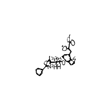 [2H]C([2H])(Oc1ccc(CC(OC)C(=O)OC)c2sccc12)C([2H])([2H])c1nc(-c2ccccc2)oc1C